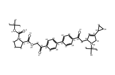 CC(C)(C)OC(=O)N1CCCC1C(=O)OCC(=O)c1ccc(-c2ccc(C(=O)CC3C=C(C4CC4)CN3C(C)(C)C)cc2)cc1